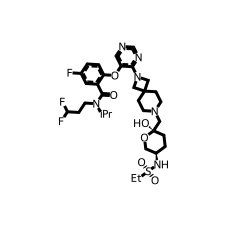 CCS(=O)(=O)N[C@@H]1CC[C@](O)(CN2CCC3(CC2)CN(c2ncncc2Oc2ccc(F)cc2C(=O)N(CCC(F)F)C(C)C)C3)OC1